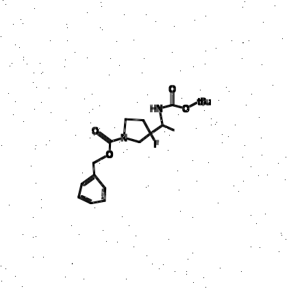 CC(NC(=O)OC(C)(C)C)C1(F)CCN(C(=O)OCc2ccccc2)C1